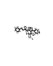 NC(=O)c1c(-c2ccncc2)noc1NC(=O)C=Cc1ccccc1